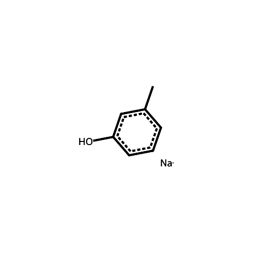 Cc1cccc(O)c1.[Na]